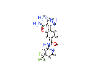 NC(=O)c1c(-c2ccc(C(=O)Nc3cc(C(F)(F)F)ccn3)cc2)n[nH]c1N